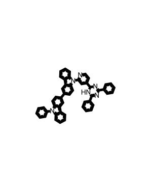 c1ccc(C2=NC(c3ccnc(-n4c5ccccc5c5cc(-c6ccc7c(c6)c6ccccc6n7-c6ccccc6)ccc54)c3)NC(c3ccccc3)=N2)cc1